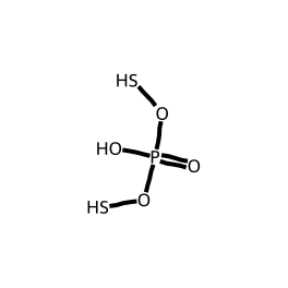 O=P(O)(OS)OS